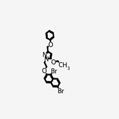 CCOc1cc(COc2ccccc2)nn1CCOc1ccc2cc(Br)ccc2c1Br